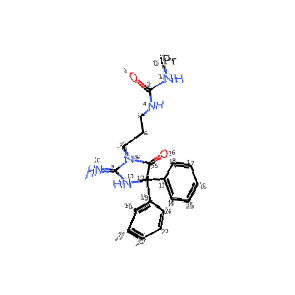 CC(C)NC(=O)NCCCN1C(=N)NC(c2ccccc2)(c2ccccc2)C1=O